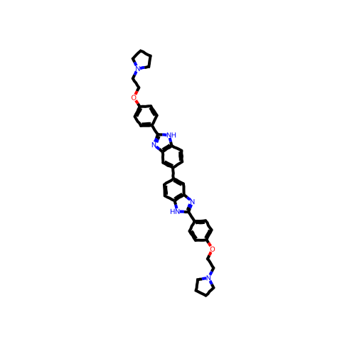 c1cc(-c2nc3cc(-c4ccc5[nH]c(-c6ccc(OCCN7CCCC7)cc6)nc5c4)ccc3[nH]2)ccc1OCCN1CCCC1